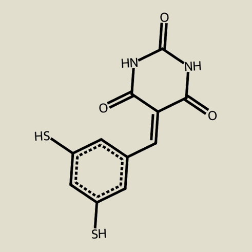 O=C1NC(=O)C(=Cc2cc(S)cc(S)c2)C(=O)N1